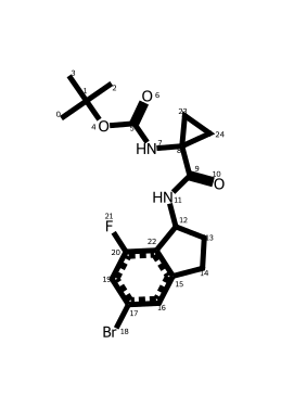 CC(C)(C)OC(=O)NC1(C(=O)NC2CCc3cc(Br)cc(F)c32)CC1